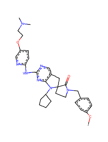 COc1ccc(CN2CCC3(Cc4cnc(Nc5ccc(OCCN(C)C)cn5)nc4N3C3CCCC3)C2=O)cc1